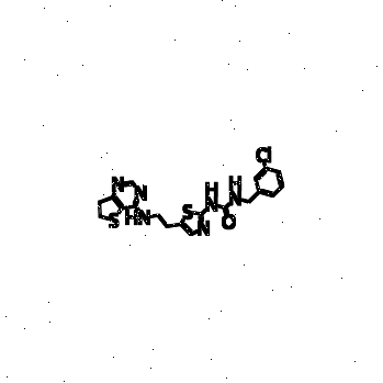 O=C(NCc1cccc(Cl)c1)Nc1ncc(CCNc2ncnc3c2SCC3)s1